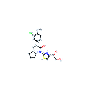 CSc1ccc(C(CC2CCCC2)C(=O)Nc2nc(C(O)CO)cs2)cc1Cl